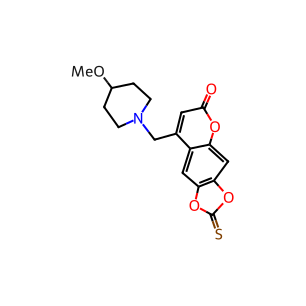 COC1CCN(Cc2cc(=O)oc3cc4oc(=S)oc4cc23)CC1